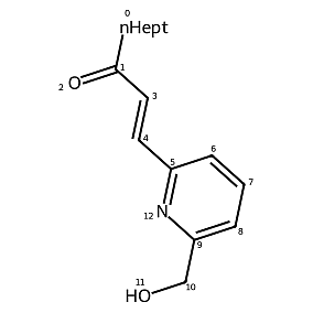 CCCCCCCC(=O)C=Cc1cccc(CO)n1